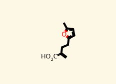 C=C(CCc1ccc(C)o1)C(=O)O